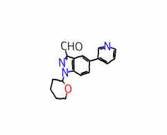 O=Cc1nn(C2CCCCO2)c2ccc(-c3cccnc3)cc12